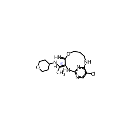 C/C(NC1CCOCC1)=C1\Nc2ncc(Cl)c(n2)NCCCOC1=N